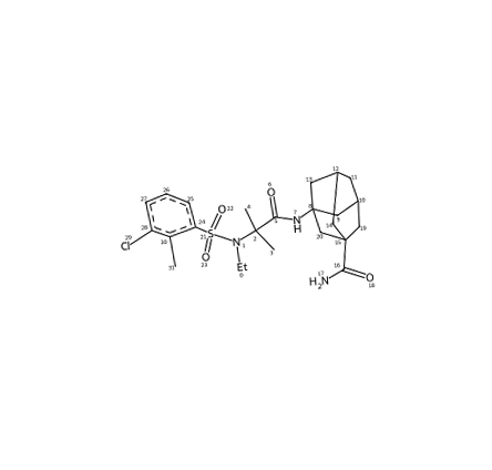 CCN(C(C)(C)C(=O)NC12CC3CC(C1)CC(C(N)=O)(C3)C2)S(=O)(=O)c1cccc(Cl)c1C